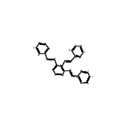 [c]1ccc(/C=C/c2ccccc2)c(/C=C/c2ccccc2)c1/C=C/c1ccccc1